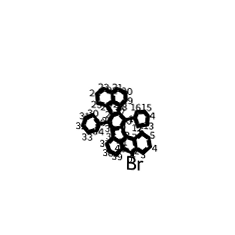 Brc1c2ccccc2c2c3c(-c4ccccc4)c4c5cccc6cccc(c4c(-c4ccccc4)c3c3cccc1c32)c65